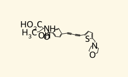 CC(O)C(NC(=O)c1ccc(C#CC#Cc2ccc(CN3CCOCC3)s2)cc1)C(=O)O